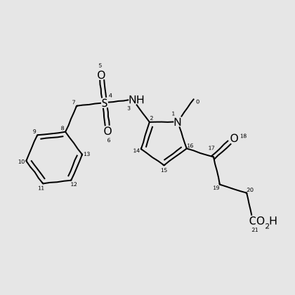 Cn1c(NS(=O)(=O)Cc2ccccc2)ccc1C(=O)CCC(=O)O